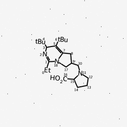 CCC1=NC(C(C)(C)C)C(C(C)(C)C)=C2CC(CN3CCCC3C(=O)O)CN12